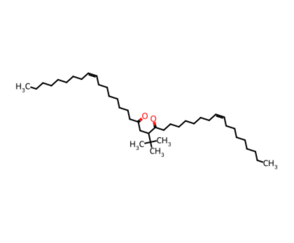 CCCCCCCC/C=C\CCCCCCCC(=O)CC(C(=O)CCCCCCC/C=C\CCCCCCCC)C(C)(C)C